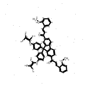 COc1ccccc1C=CC(=O)c1ccc2c(c1)C(c1ccc(OC(F)=C(F)F)cc1)(c1ccc(OC(F)=C(F)F)cc1)c1cc(C(=O)C=Cc3ccccc3OC)ccc1-2